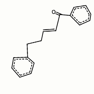 O=C(C=CCCc1ccccc1)c1ccccc1